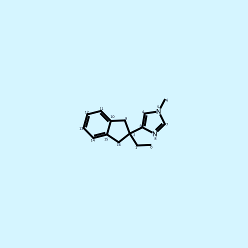 CCC1(c2cn(C)cn2)Cc2ccccc2C1